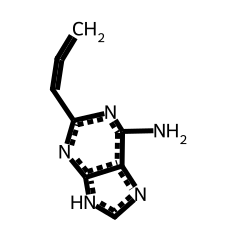 C=C=Cc1nc(N)c2nc[nH]c2n1